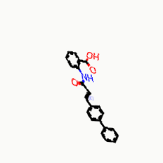 O=C(/C=C/c1ccc(-c2ccccc2)cc1)Nc1ccccc1C(=O)O